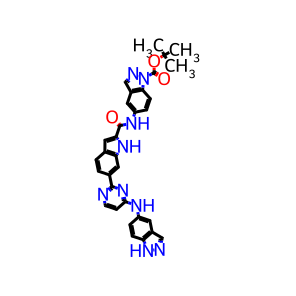 CC(C)(C)OC(=O)n1ncc2cc(NC(=O)c3cc4ccc(-c5nccc(Nc6ccc7[nH]ncc7c6)n5)cc4[nH]3)ccc21